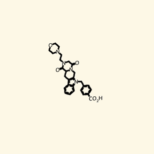 O=C(O)c1ccc(Cn2c3c(c4ccccc42)CC2C(=O)N(CCN4CCOCC4)CC(=O)N2C3)cc1